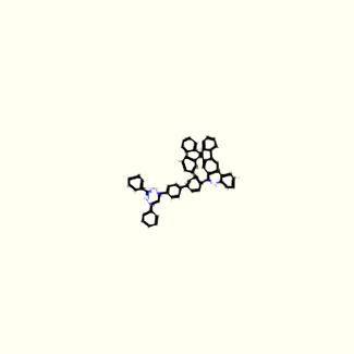 c1ccc(-c2cc(-c3ccc(-c4ccc(-c5nc6ccccc6c6cc7c(cc56)C(c5ccccc5)(c5ccccc5)c5ccccc5-7)cc4)cc3)nc(-c3ccccc3)n2)cc1